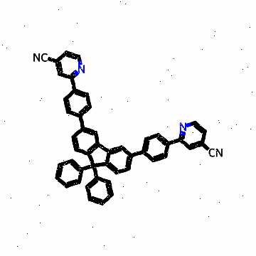 N#Cc1ccnc(-c2ccc(-c3ccc4c(c3)-c3cc(-c5ccc(-c6cc(C#N)ccn6)cc5)ccc3C4(c3ccccc3)c3ccccc3)cc2)c1